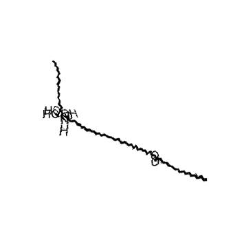 CCCCCCCCCCCCCC=CC=CC(=O)OCCCCCCCCCCCCCCCCCCCCCCCCCCCCCCCC(=O)N[C@H](CO)[C@H](O)C(O)CCCCCCCCCCCCCCCC